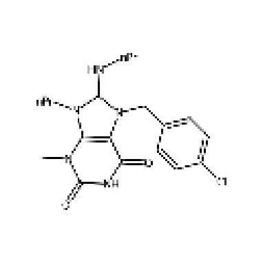 CCCNC1N(Cc2ccc(Cl)cc2)c2c(n(C)c(=O)[nH]c2=O)N1CCC